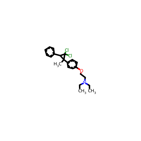 CCN(CC)CCOc1ccc(C2(C)C(c3ccccc3)C2(Cl)Cl)cc1